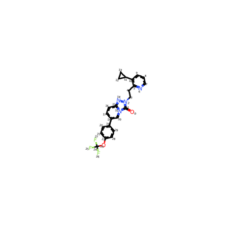 O=c1n(CCc2ncccc2C2CC2)nc2ccc(-c3ccc(OC(F)(F)F)cc3)cn12